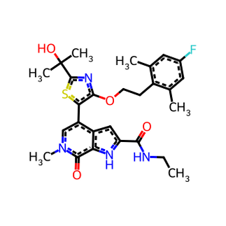 CCNC(=O)c1cc2c(-c3sc(C(C)(C)O)nc3OCCc3c(C)cc(F)cc3C)cn(C)c(=O)c2[nH]1